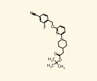 CC(C)(C)OC(=O)CC1CCN(c2cccc(OCc3ccc(C#N)cc3F)n2)CC1